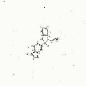 Cn1ccc2cc(C(C)(CC=N)Cc3ccccn3)ccc21